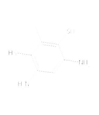 Cc1c(S)c(N)cc(N)c1S